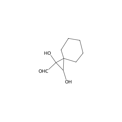 O=CC1(O)C(O)C12CCCCC2